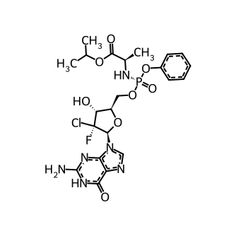 CC(C)OC(=O)[C@@H](C)N[P@](=O)(OC[C@H]1O[C@@H](n2cnc3c(=O)[nH]c(N)nc32)[C@@](F)(Cl)[C@@H]1O)Oc1ccccc1